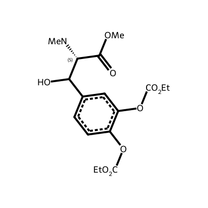 CCOC(=O)Oc1ccc(C(O)[C@H](NC)C(=O)OC)cc1OC(=O)OCC